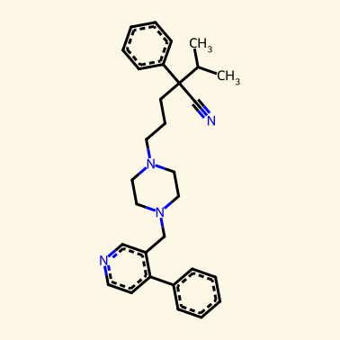 CC(C)C(C#N)(CCCN1CCN(Cc2cnccc2-c2ccccc2)CC1)c1ccccc1